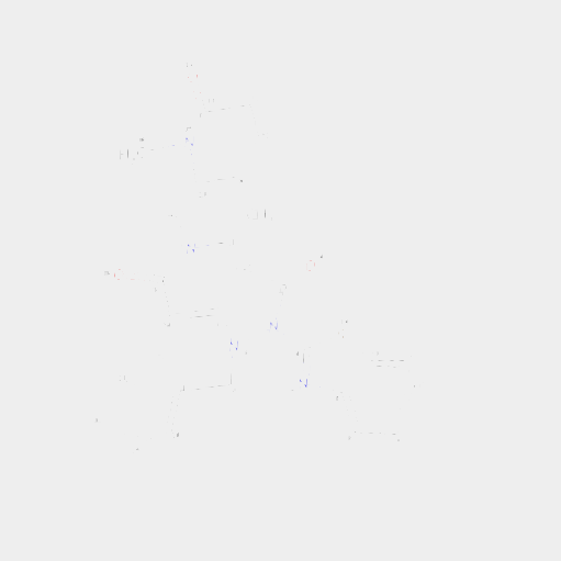 Cc1c2c(=O)n(-c3nc4ccccc4s3)n(Cc3ccccc3)c2cc(=O)n1CC1CCCC(=O)N1C